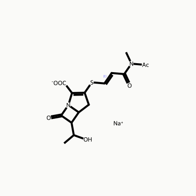 CC(=O)N(C)C(=O)/C=C/SC1=C(C(=O)[O-])N2C(=O)C(C(C)O)C2C1.[Na+]